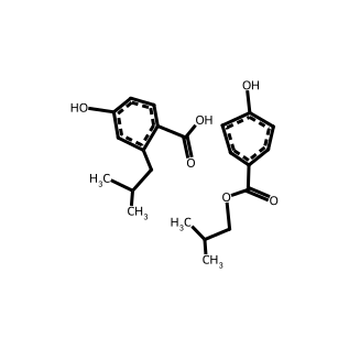 CC(C)COC(=O)c1ccc(O)cc1.CC(C)Cc1cc(O)ccc1C(=O)O